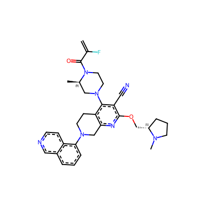 C=C(F)C(=O)N1CCN(c2c(C#N)c(OC[C@@H]3CCCN3C)nc3c2CCN(c2cccc4cnccc24)C3)C[C@H]1C